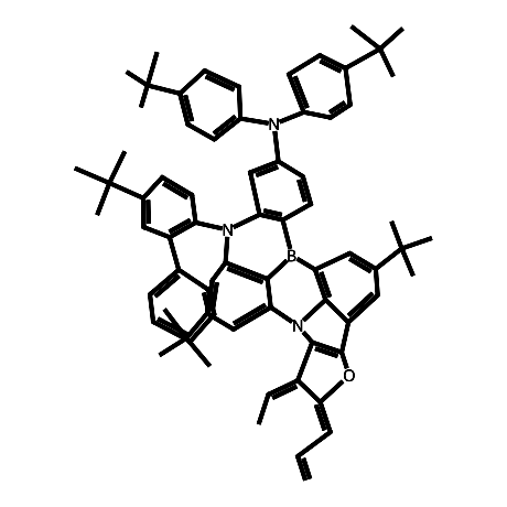 C=C/C=c1/oc2c3cc(C(C)(C)C)cc4c3n(c2/c1=C/C)-c1cc(C(C)(C)C)cc2c1B4c1ccc(N(c3ccc(C(C)(C)C)cc3)c3ccc(C(C)(C)C)cc3)cc1N2c1ccc(C(C)(C)C)cc1-c1ccccc1